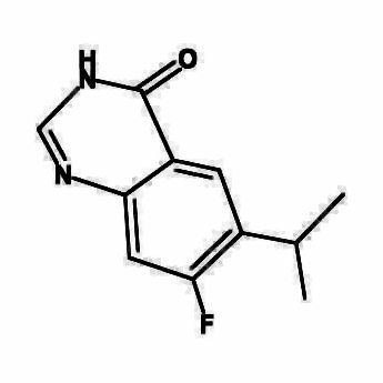 CC(C)c1cc2c(=O)[nH]cnc2cc1F